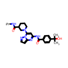 CC(C)NC(=O)C1CCCN(c2cc(NC(=O)c3ccc(C(C)(C)O)cc3)nc3ccnn23)C1